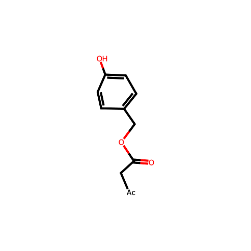 CC(=O)CC(=O)OCc1ccc(O)cc1